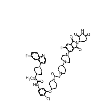 C[C@@H](C(=O)Nc1ccc(Cl)c(OC2CCN(C(=O)CN3CCC(N4CCN(c5cc6c(cc5F)C(=O)N(C5CCC(=O)NC5=O)C6=O)CC4)CC3)CC2)c1)C1CCC(c2ccnc3ccc(F)cc23)CC1